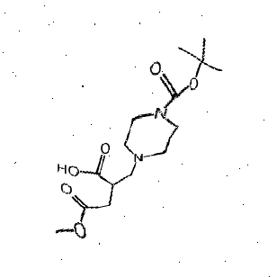 COC(=O)CC(CN1CCN(C(=O)OC(C)(C)C)CC1)C(=O)O